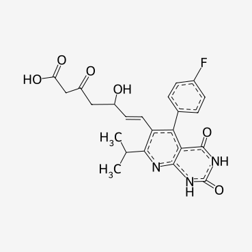 CC(C)c1nc2[nH]c(=O)[nH]c(=O)c2c(-c2ccc(F)cc2)c1C=CC(O)CC(=O)CC(=O)O